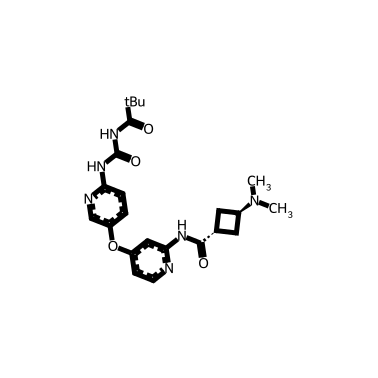 CN(C)[C@H]1C[C@H](C(=O)Nc2cc(Oc3ccc(NC(=O)NC(=O)C(C)(C)C)nc3)ccn2)C1